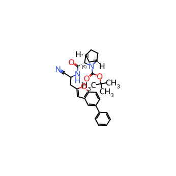 CC(C)(C)OC(=O)N1[C@@H]2CC[C@@H](C2)[C@H]1C(=O)NC(C#N)Cc1cc2cc(-c3ccccc3)ccc2o1